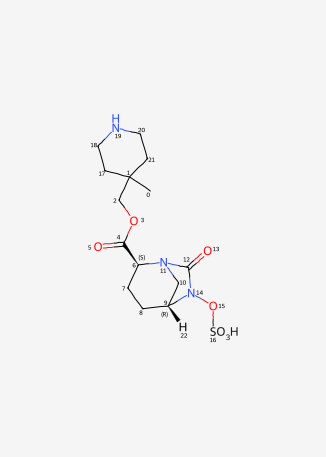 CC1(COC(=O)[C@@H]2CC[C@@H]3CN2C(=O)N3OS(=O)(=O)O)CCNCC1